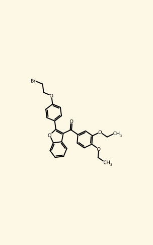 CCOc1ccc(C(=O)c2c(-c3ccc(OCCBr)cc3)oc3ccccc23)cc1OCC